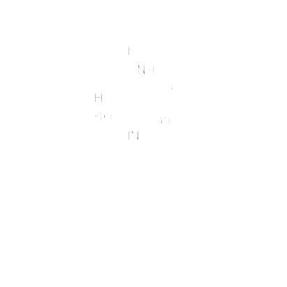 O=C(Nc1ccc(-c2ccccc2)cc1)C1=C(O)[C@H]2CCC[C@H]2NC1=O